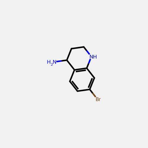 NC1CCNc2cc(Br)ccc21